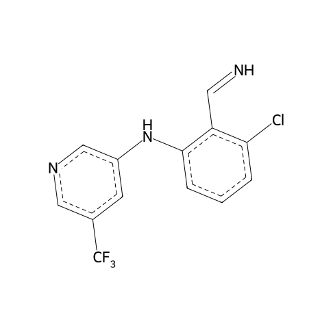 N=Cc1c(Cl)cccc1Nc1cncc(C(F)(F)F)c1